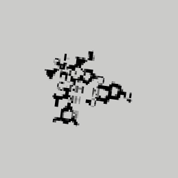 C=C[C@@H]1C[C@@]1(C(=O)NS(=O)(=O)C1CC1)N1C[C@H](Oc2nc(OC)cc3cc(OC)ccc23)C[C@H]1C(=O)NC(=O)C(Nc1cc(C)cc(C)n1)C(C)C